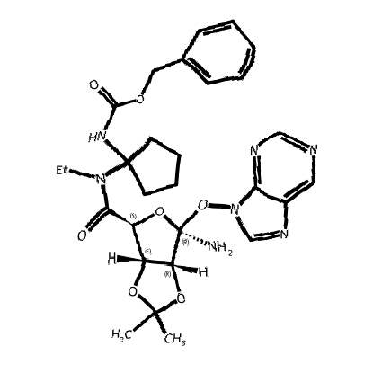 CCN(C(=O)[C@H]1O[C@@](N)(On2cnc3cncnc32)[C@@H]2OC(C)(C)O[C@H]12)C1(NC(=O)OCc2ccccc2)CCCC1